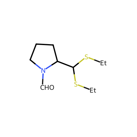 CCSC(SCC)C1CCCN1C=O